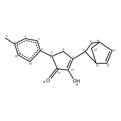 Cc1ccc(N2CC(C3CC4C=CC3C4)=C(O)C2=O)cc1